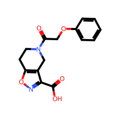 O=C(O)c1noc2c1CN(C(=O)COc1ccccc1)CC2